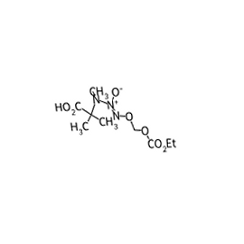 CCOC(=O)OCO/N=[N+](\[O-])N(C)C(C)(C)C(=O)O